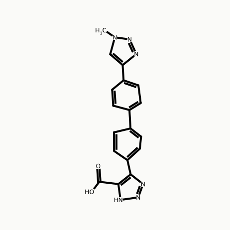 Cn1cc(-c2ccc(-c3ccc(-c4nn[nH]c4C(=O)O)cc3)cc2)nn1